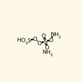 N.NOS(=O)(=O)OOS(=O)(=O)O